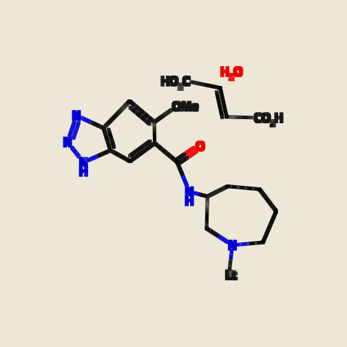 CCN1CCCCC(NC(=O)c2cc3[nH]nnc3cc2OC)C1.O.O=C(O)/C=C/C(=O)O